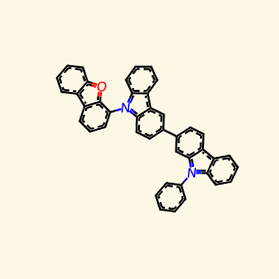 c1ccc(-n2c3ccccc3c3ccc(-c4ccc5c(c4)c4ccccc4n5-c4cccc5c4oc4ccccc45)cc32)cc1